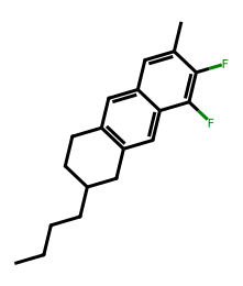 CCCCC1CCc2cc3cc(C)c(F)c(F)c3cc2C1